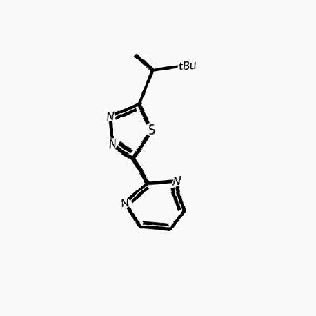 CC(c1nnc(-c2ncccn2)s1)C(C)(C)C